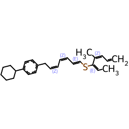 C=C/C=C(C)\C(=C/C)S/C=C/C=C\C=C/Cc1ccc(C2CCCCC2)cc1